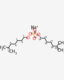 CC(C)CCCCCOOP(=O)([O-])OCCCCCC(C)C.[Na+]